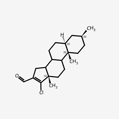 C[C@H]1CC[C@]2(C)C3CC[C@]4(C)C(Cl)=C(C=O)CC4C3CC[C@H]2C1